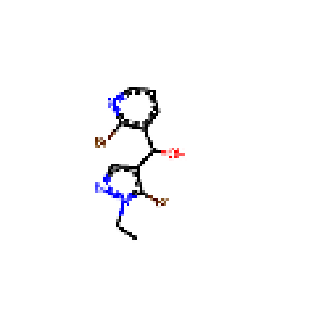 CCn1ncc(C(O)c2cccnc2Br)c1Br